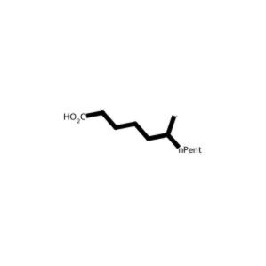 [CH2]C(CCCCC)CCCCC(=O)O